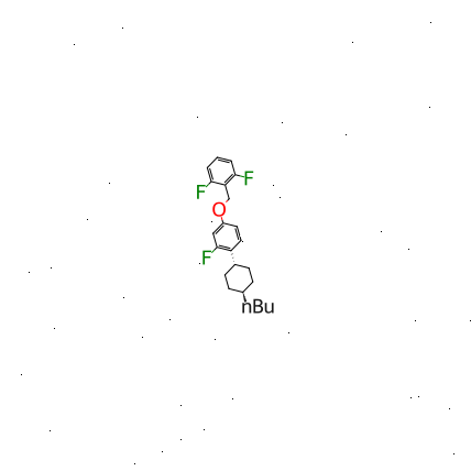 CCCC[C@H]1CC[C@H](c2ccc(OCc3c(F)cccc3F)cc2F)CC1